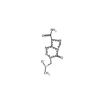 C[S+]([O-])Cn1nnc2c(C(N)=O)ncn2c1=O